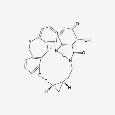 O=C1C=CN2C(C(=O)N3CC[C@@H]4C[C@@H]4COc4cccc5c4[C@@H](c4ccccc4SC5)N2C3)C1O